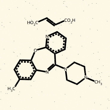 Cc1ccc2c(c1)N=C(N1CCN(C)CC1)c1cccnc1O2.O=C(O)/C=C/C(=O)O